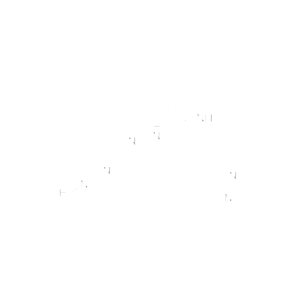 CN1CCN(c2ccc(Nc3ccc(-c4ccn5ccnc5c4)c4c3C(=O)NC4)nc2)CC1